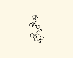 N#Cc1ccc2c(c1)c1ccccc1n2-c1ccc2sc3ccc(-n4c5ccccc5c5ccc6sc7ccccc7c6c54)cc3c2c1